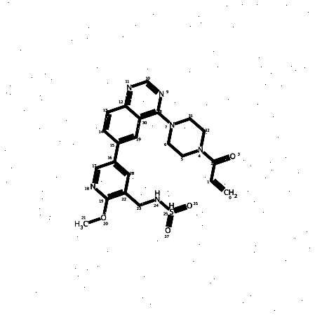 C=CC(=O)N1CCN(c2ncnc3ccc(-c4cnc(OC)c(CN[SH](=O)=O)c4)cc23)CC1